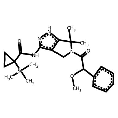 COC(C(=O)N1Cc2c(NC(=O)C3([Si](C)(C)C)CC3)n[nH]c2C1(C)C)c1ccccc1